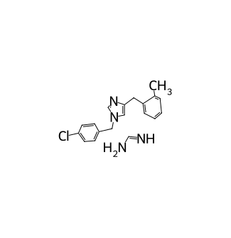 Cc1ccccc1Cc1cn(Cc2ccc(Cl)cc2)cn1.N=CN